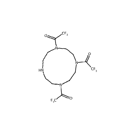 O=C(N1CCNCCN(C(=O)C(F)(F)F)CCN(C(=O)C(F)(F)F)CC1)C(F)(F)F